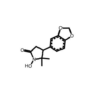 CC1(C)C(c2ccc3c(c2)OCO3)CC(=O)N1O